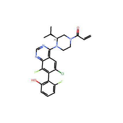 C=CC(=O)N1CCN(c2ncnc3c(F)c(-c4c(O)cccc4F)c(Cl)cc23)[C@@H](C(C)C)C1